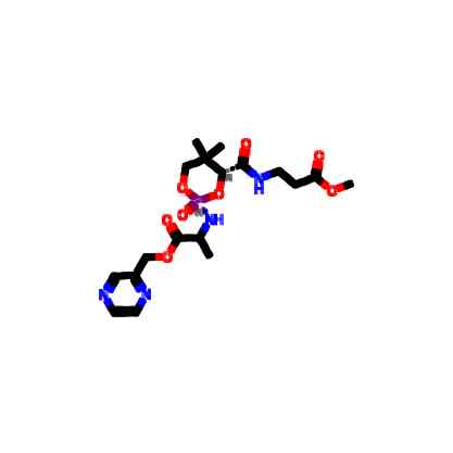 COC(=O)CCNC(=O)[C@@H]1O[P@](=O)(NC(C)C(=O)OCc2cnccn2)OCC1(C)C